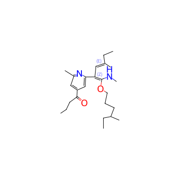 CCCC(=O)c1cc(C)nc(C(/C=C(\C)CC)=C(/NC)OCCCC(C)CC)c1